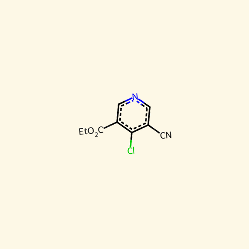 CCOC(=O)c1cncc(C#N)c1Cl